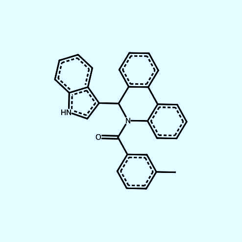 Cc1cccc(C(=O)N2c3ccccc3-c3ccccc3C2c2c[nH]c3ccccc23)c1